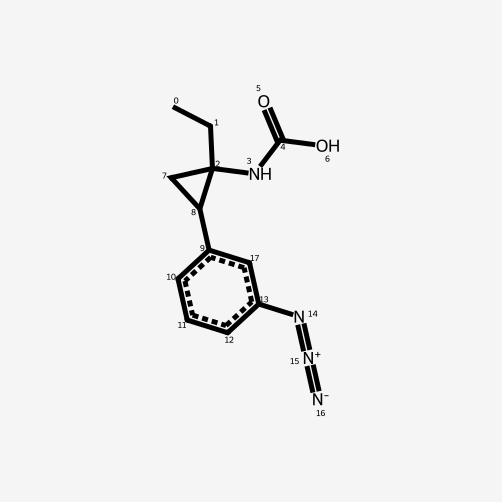 CCC1(NC(=O)O)CC1c1cccc(N=[N+]=[N-])c1